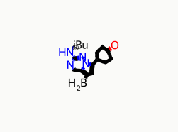 Bc1cc(C2CCC(=O)CC2)n2nc(N[C@@H](C)CC)ncc12